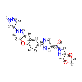 Cn1cc(-n2ccc(=O)c(Cc3cccc(-c4ncc(C(=O)NCC5COCCO5)cn4)c3)n2)cn1